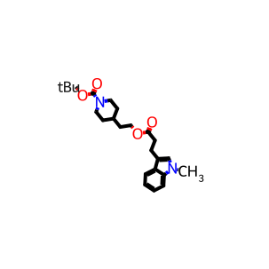 Cn1cc(CCC(=O)OCCC2CCN(C(=O)OC(C)(C)C)CC2)c2ccccc21